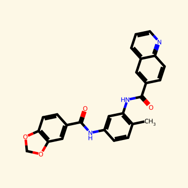 Cc1ccc(NC(=O)c2ccc3c(c2)OCO3)cc1NC(=O)c1ccc2ncccc2c1